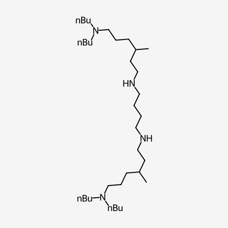 CCCCN(CCCC)CCCC(C)CCNCCCCNCCC(C)CCCN(CCCC)CCCC